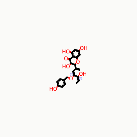 C=C(/C=C(OCc1ccc(O)cc1)\C(O)=C/C)C1Oc2cc(O)cc(O)c2C(=O)C1O